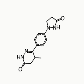 CC1CC(=O)NN=C1c1ccc(N2CCC(=O)N2)cc1